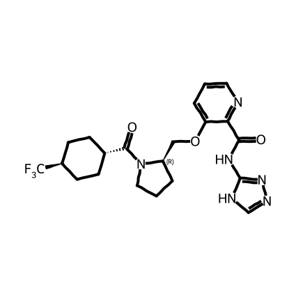 O=C(Nc1nnc[nH]1)c1ncccc1OC[C@H]1CCCN1C(=O)[C@H]1CC[C@H](C(F)(F)F)CC1